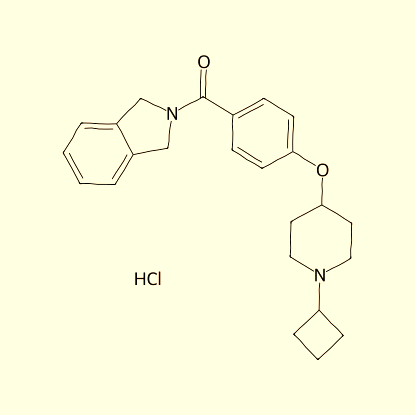 Cl.O=C(c1ccc(OC2CCN(C3CCC3)CC2)cc1)N1Cc2ccccc2C1